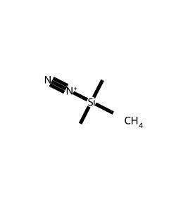 C.C[Si](C)(C)[N+]#N